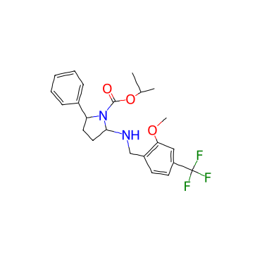 COc1cc(C(F)(F)F)ccc1CNC1CCC(c2ccccc2)N1C(=O)OC(C)C